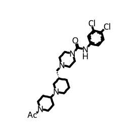 CC(=O)N1CCC(N2CCC[C@@H](CN3CCN(C(=O)Nc4ccc(Cl)c(Cl)c4)CC3)C2)CC1